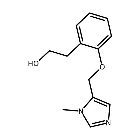 Cn1cncc1COc1ccccc1CCO